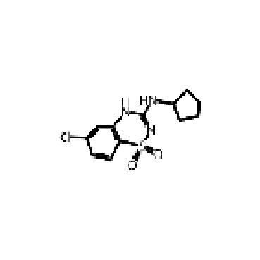 O=S1(=O)N=C(NC2CCCC2)Nc2cc(Cl)ccc21